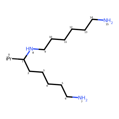 CC(C)C(CCCCCN)NCCCCCCN